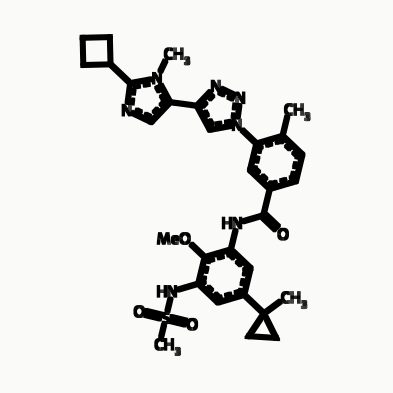 COc1c(NC(=O)c2ccc(C)c(-n3cc(-c4cnc(C5CCC5)n4C)nn3)c2)cc(C2(C)CC2)cc1NS(C)(=O)=O